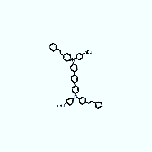 CCCCc1ccc(N(c2ccc(/C=C/c3ccccc3)cc2)c2ccc(-c3ccc(-c4ccc(N(c5ccc(/C=C/c6ccccc6)cc5)c5ccc(CCCC)cc5)cc4)cc3)cc2)cc1